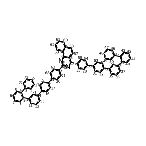 c1ccc(-c2ccccc2-c2cccc(-c3ccc(-c4ccc(-c5nc(-c6ccc(-c7ccc(-c8cccc(-c9ccccc9-c9ccccc9)c8)cc7)cc6)c6ccc7ccccc7c6n5)cc4)cc3)c2)cc1